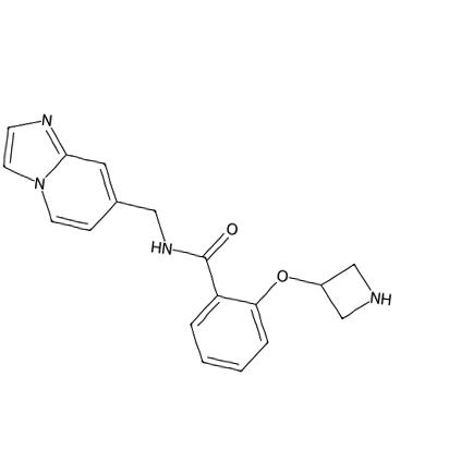 O=C(NCc1ccn2ccnc2c1)c1ccccc1OC1CNC1